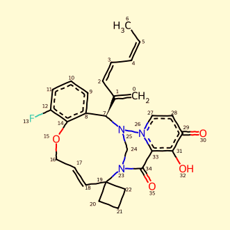 C=C(/C=C\C=C/C)[C@@H]1c2cccc(F)c2OC/C=C/C2(CCC2)N2CN1n1ccc(=O)c(O)c1C2=O